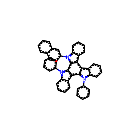 c1ccc(-n2c3ccccc3c3c4c5ccccc5n(-c5ccc6ccccc6c5)c4c4c(c5ccccc5n4-c4ccccc4)c32)cc1